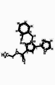 CCOC(=O)c1cc(-c2ncco2)n(Cc2ccccc2F)n1